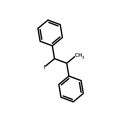 CC(c1ccccc1)C(I)c1ccccc1